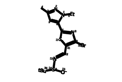 CCn1nc(C)cc1-c1nc(Br)c(C=N[S+]([O-])C(C)(C)C)s1